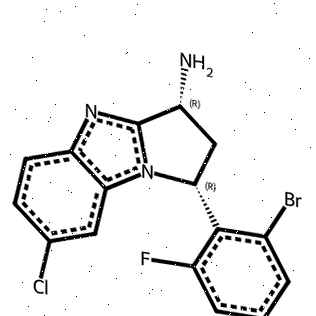 N[C@@H]1C[C@H](c2c(F)cccc2Br)n2c1nc1ccc(Cl)cc12